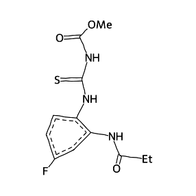 CCC(=O)Nc1cc(F)ccc1NC(=S)NC(=O)OC